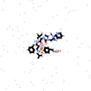 CC(C)CN(C[C@@H](O)[C@H](Cc1ccccc1)NC(=O)[C@@H](N1CCN(Cc2nc3cccnc3n2C)C1=O)C(C)(C)C)S(=O)(=O)c1ccc(/C=N/O)cc1